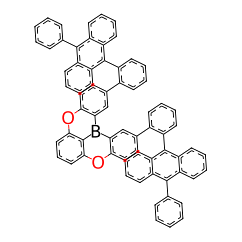 c1ccc(-c2c3ccccc3c(-c3ccccc3-c3ccc4c(c3)B3c5cc(-c6ccccc6-c6c7ccccc7c(-c7ccccc7)c7ccccc67)ccc5Oc5cccc(c53)O4)c3ccccc23)cc1